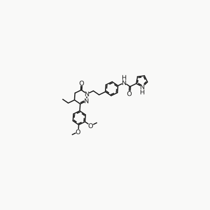 CCC1CC(=O)N(CCc2ccc(NC(=O)c3ccc[nH]3)cc2)N=C1c1ccc(OC)c(OC)c1